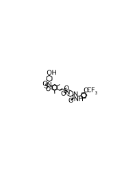 Cc1cc(N(C2CCC(O)CC2)S(C)(=O)=O)cc(C)c1/C=C/S(=O)(=O)N1CCC2(CC1)N=C(c1cccc(OC(F)(F)F)c1)NC2=O